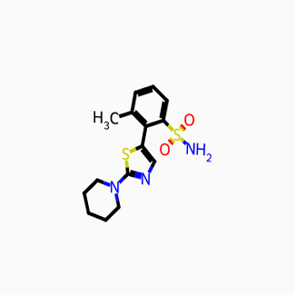 Cc1cccc(S(N)(=O)=O)c1-c1cnc(N2CCCCC2)s1